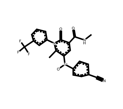 CNC(=O)c1cc([S+]([O-])c2ccc(C#N)cc2)c(C)n(-c2cccc(C(F)(F)F)c2)c1=O